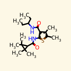 CCC(CC)NC(=O)c1c(NC(=O)C2C(C)(C)C2(C)C)sc(C)c1C